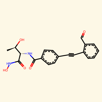 C[C@@H](O)[C@H](NC(=O)c1ccc(C#Cc2ccccc2C=O)cc1)C(=O)NO